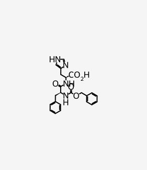 O=C(N[C@@H](Cc1ccccc1)C(=O)N[C@@H](Cc1c[nH]cn1)C(=O)O)OCc1ccccc1